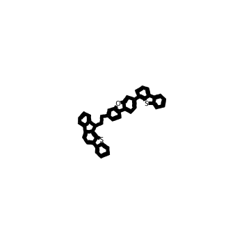 c1ccc2c(c1)-c1ccc3c(sc4ccccc43)c1C2CCc1ccc2c(c1)oc1cc(-c3cccc4c3sc3ccccc34)ccc12